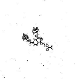 C=C(C)C(=O)OCCOC(=O)C1CCC(C(=O)OCC(F)(F)C(F)(F)F)CC1C(=O)OCC(F)(F)C(F)(F)F